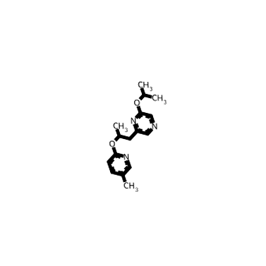 Cc1ccc(OC(C)Cc2cncc(OC(C)C)n2)nc1